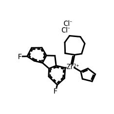 Fc1ccc2c(c1)-c1cc(F)c[c]([Zr+2]([C]3=CC=CC3)=[C]3CCCCCC3)c1C2.[Cl-].[Cl-]